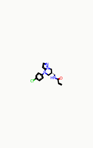 C=CC(=O)NC[C@@H]1CN(c2ccc(Cl)cc2)c2ccnn2C1